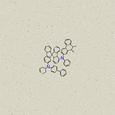 CC1c2ccccc2-c2ccc(N(C3=CC=CC4C3c3ccccc3C43c4cc(N(c5ccc(-c6ccccc6)cc5)C5CC=CCC5)ccc4C4C=CC=CC43)c3ccccc3)cc2C1C